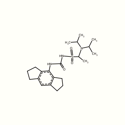 CC(C)N(C(C)C)C(C)S(=O)(=O)NC(=O)Nc1c2c(cc3c1CCC3)CCC2